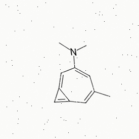 CC1=CC2=CC2=CC(N(C)C)=C1